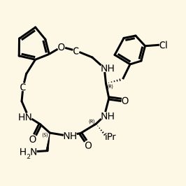 CC(C)[C@H]1NC(=O)[C@@H](Cc2cccc(Cl)c2)NCCOc2ccccc2CCCNC(=O)[C@H](CN)NC1=O